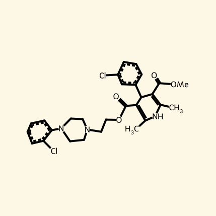 COC(=O)C1=C(C)NC(C)=C(C(=O)OCCN2CCN(c3ccccc3Cl)CC2)C1c1cccc(Cl)c1